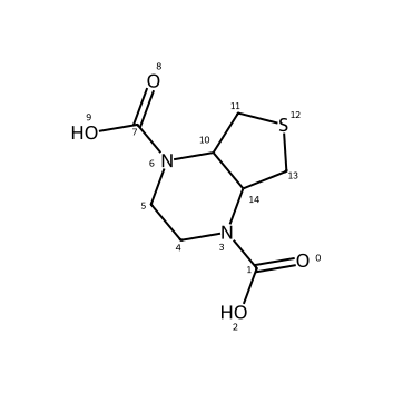 O=C(O)N1CCN(C(=O)O)C2CSCC21